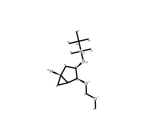 COCO[C@H]1C2C[C@@H]2C[C@H]1O[Si](C)(C)C(C)(C)C